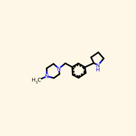 CN1CCN(Cc2cccc(C3CCCN3)c2)CC1